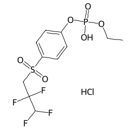 CCOP(=O)(O)Oc1ccc(S(=O)(=O)CC(F)(F)C(F)F)cc1.Cl